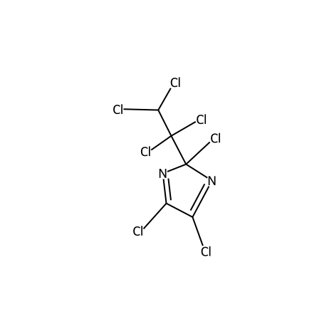 ClC1=NC(Cl)(C(Cl)(Cl)C(Cl)Cl)N=C1Cl